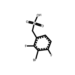 O=S(=O)(O)Cc1ccc(F)c(Br)c1F